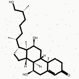 C[C@@H](CO)CCC[C@@H](C)[C@H]1CC[C@H]2[C@@H]3[C@H](O)CC4=CC(=O)CC[C@]4(C)[C@H]3C[C@H](O)[C@]12C